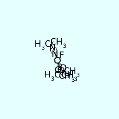 CC(C)N1CCN(c2ccc(B3OC(C)(C)C(C)(C)O3)cc2F)CC1